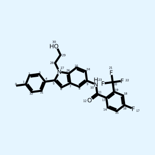 Cc1ccc(-c2cc3cc(NC(=O)c4ccc(F)cc4C(F)(F)F)ccc3n2CCO)cc1